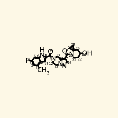 Cc1cc(F)cc2[nH]c(C(=O)N3CCn4ncc(C(=O)N5CCC(O)CC56CC6)c4C3)cc12